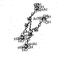 CC(=O)N[C@H]1[C@H](OCCOCCn2cc(CN(CCCC[C@@H](C(C)=O)N(Cc3cn(CCOCCO[C@@H]4O[C@H](CO)[C@H](O)[C@H](O)[C@H]4NC(C)=O)nn3)Cc3cn(CCOCCO[C@@H]4O[C@H](CO)[C@H](O)[C@H](O)[C@H]4NC(C)=O)nn3)Cc3cn(CCOCCO[C@@H]4O[C@H](CO)[C@H](O)[C@H](O)[C@H]4NC(C)=O)nn3)nn2)O[C@H](CO)[C@H](O)[C@@H]1O